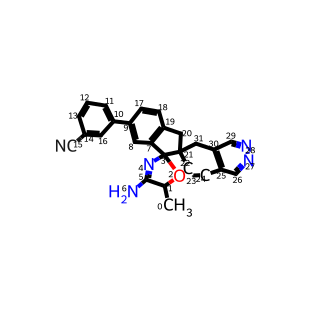 CC1OC2(N=C1N)c1cc(-c3cccc(C#N)c3)ccc1CC21CCCc2cnncc2C1